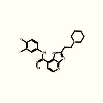 O/N=C(/Nc1ccc(F)c(Cl)c1)c1ccnc2nc(CCN3CCCCC3)[nH]c12